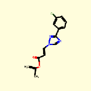 C=C(C)OC(=O)/C=C/n1cnc(-c2cccc(Cl)c2)n1